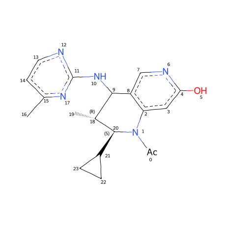 CC(=O)N1c2cc(O)ncc2C(Nc2nccc(C)n2)[C@@H](C)[C@@H]1C1CC1